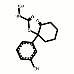 CC(C)(C)NC(=O)OC1(c2cccc(C#N)c2)CCCCC1=O